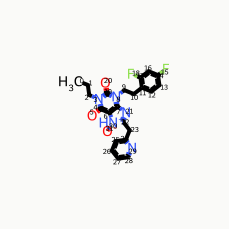 CCCn1c(=O)c2c(n(CCc3ccc(F)cc3F)c1=O)N=C(Cc1ccccn1)[NH+]2[O-]